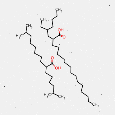 CC(C)CCCCCCC(CCCCC(C)C)C(=O)O.CCCCCCCCCCCCCCC(CC(CC)CCCC)C(=O)O